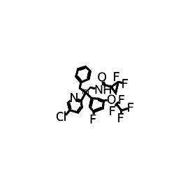 O=C(NC[C@@](Cc1ccccc1)(c1cc(F)cc(OC(F)(F)C(F)F)c1)c1ccc(Cl)cn1)C1CC1(F)F